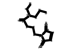 C=C(CCCN1C(=O)C=CC1=O)N(CC)CCC